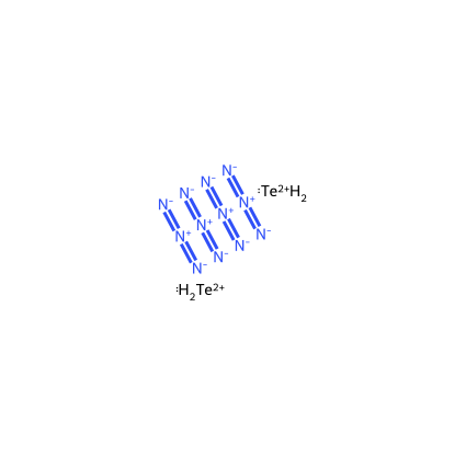 [N-]=[N+]=[N-].[N-]=[N+]=[N-].[N-]=[N+]=[N-].[N-]=[N+]=[N-].[TeH2+2].[TeH2+2]